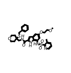 COCCOc1cc(NS(=O)(=O)c2ncccc2C)c2[nH]c(C(=O)NCC3(SCc4ccccc4)CCOCC3)cc2c1